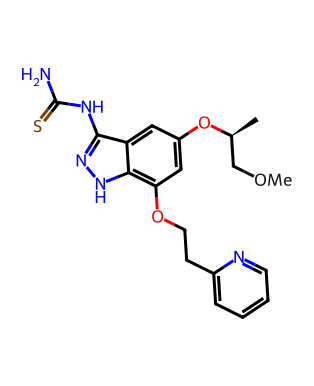 COC[C@H](C)Oc1cc(OCCc2ccccn2)c2[nH]nc(NC(N)=S)c2c1